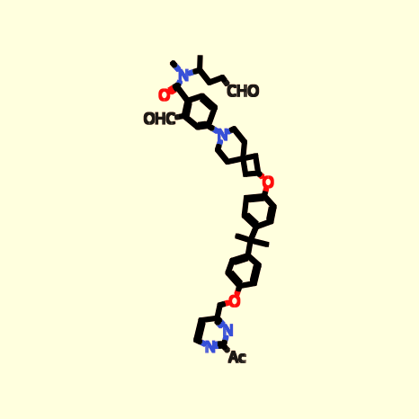 CC(=O)c1nccc(COc2ccc(C(C)(C)c3ccc(OC4CC5(CCN(c6ccc(C(=O)N(C)C(C)CCC=O)c(C=O)c6)CC5)C4)cc3)cc2)n1